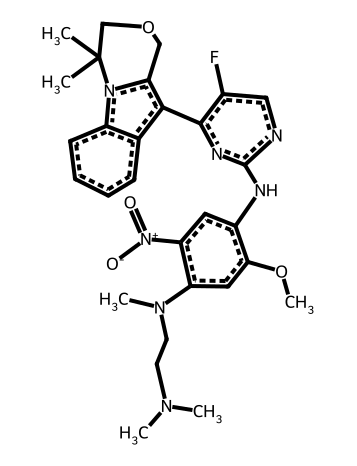 COc1cc(N(C)CCN(C)C)c([N+](=O)[O-])cc1Nc1ncc(F)c(-c2c3n(c4ccccc24)C(C)(C)COC3)n1